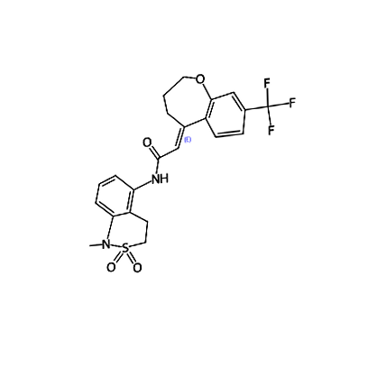 CN1c2cccc(NC(=O)/C=C3\CCCOc4cc(C(F)(F)F)ccc43)c2CCS1(=O)=O